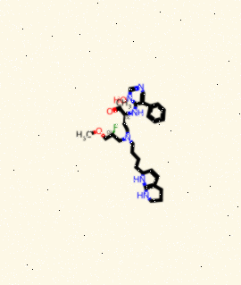 COC[C@@H](F)CN(CCCCC1C=CC2=C(NCCC2)N1)CC[C@H](NC1C(c2ccccc2)=CN=CN1O)C(C)=O